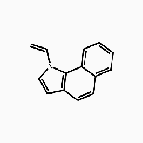 C=Cn1ccc2ccc3ccccc3c21